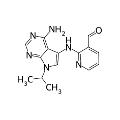 CC(C)n1cc(Nc2ncccc2C=O)c2c(N)ncnc21